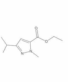 CCOC(=O)c1cc(C(C)C)nn1C